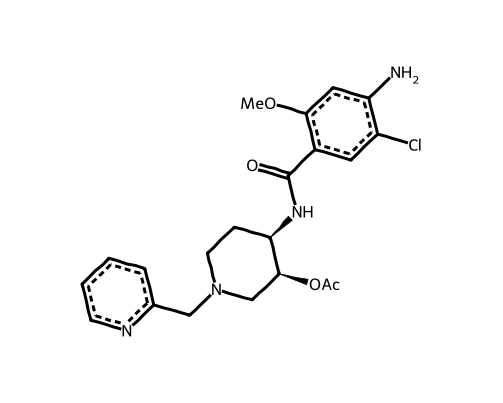 COc1cc(N)c(Cl)cc1C(=O)N[C@@H]1CCN(Cc2ccccn2)C[C@@H]1OC(C)=O